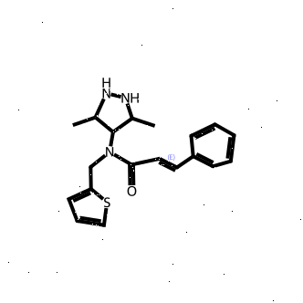 CC1NNC(C)C1N(Cc1cccs1)C(=O)/C=C/c1ccccc1